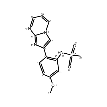 COc1ccc(-c2cn3cccnc3n2)c(NS(C)(=O)=O)c1